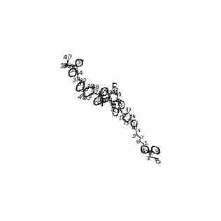 C=CC(=O)OCCCCCCOc1ccc(C(=O)Oc2cc(F)c(OC(=O)c3ccc(OCCCOC(=O)C(=C)C)cc3)c(F)c2F)cc1